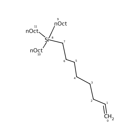 C=CCCCCCC[Si](CCCCCCCC)(CCCCCCCC)CCCCCCCC